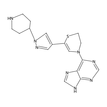 C1=C(c2cnn(C3CCNCC3)c2)SCCN1c1ncnc2[nH]cnc12